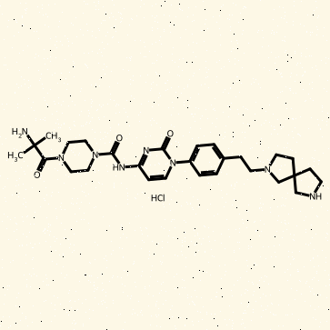 CC(C)(N)C(=O)N1CCN(C(=O)Nc2ccn(-c3ccc(CCN4CCC5(CCNC5)C4)cc3)c(=O)n2)CC1.Cl